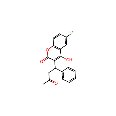 CC(=O)CC(c1ccccc1)c1c(O)c2cc([18F])ccc2oc1=O